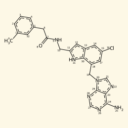 Cc1cccc(CC(=O)NCc2cc3cc(Cl)cc(Cn4cnc5c(N)ncnc54)c3[nH]2)c1